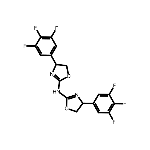 Fc1cc(C2COC(NC3=NC(c4cc(F)c(F)c(F)c4)CO3)=N2)cc(F)c1F